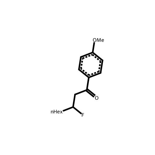 CCCCCCC(F)CC(=O)c1ccc(OC)cc1